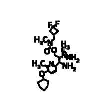 Cc1nc(/C(N)=C(\COC(=O)N(C)CC2CC(F)(F)C2)N(C)N)ccc1OC1CCCCC1